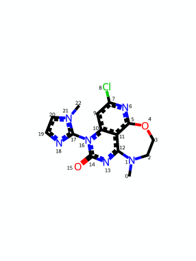 CN1CCOc2nc(Cl)cc3c2c1nc(=O)n3-c1nccn1C